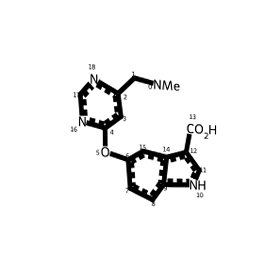 CNCc1cc(Oc2ccc3[nH]cc(C(=O)O)c3c2)ncn1